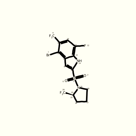 O=S(=O)(c1cc2c(Br)c(C(F)(F)F)cc(F)c2[nH]1)N1CCC[C@H]1C(F)(F)F